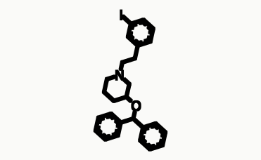 Ic1cccc(CCN2CCCC(OC(c3ccccc3)c3ccccc3)C2)c1